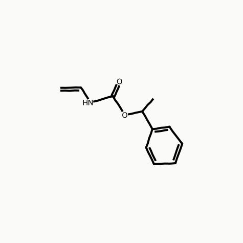 C=CNC(=O)OC(C)c1ccccc1